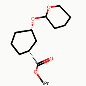 CC(C)OC(=O)[C@@H]1CCC[C@H](OC2CCCCO2)C1